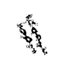 CN(C)CC(=O)OCC1CC(c2ccc(-c3ccc(N4C[C@H](Cn5ccnn5)OC4=O)cc3F)cn2)=NO1.O=C1O[C@@H](Cn2ccnn2)CN1c1ccc(-c2ccc(C3=NO[C@H](CO)C3)nc2)c(F)c1